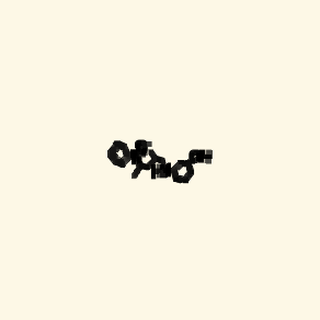 CC(CC(C)CNc1cccc(O)c1)=[N+]([O-])c1ccccc1